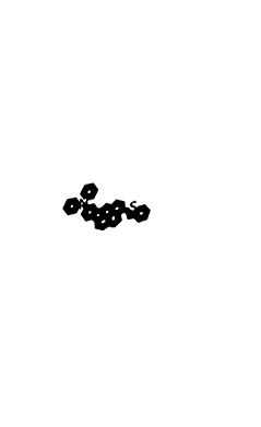 c1ccc(N(c2ccccc2)c2ccc3c(c2)-c2cc4ccc(-c5cc6ccccc6s5)c5ccc6ccc-3c2c6c45)cc1